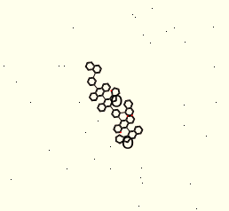 c1cc(-c2cccc3ccccc23)cc(-c2c3ccccc3c(-c3c4ccccc4c(-c4ccc(-c5c6ccccc6c(-c6c7ccccc7cc7oc8ccccc8c67)c6ccccc56)c(-c5cccc6ccccc56)c4)c4oc5ccccc5c34)c3ccccc23)c1